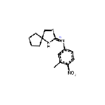 Cc1cc(/N=C2\NC3(CCCC3)CS2)ccc1[N+](=O)[O-]